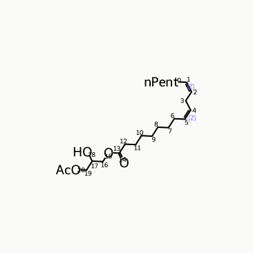 CCCCC/C=C\C/C=C\CCCCCCCC(=O)OCC(O)COC(C)=O